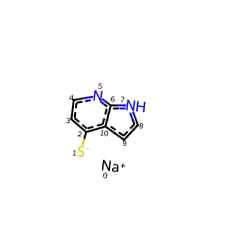 [Na+].[S-]c1ccnc2[nH]ccc12